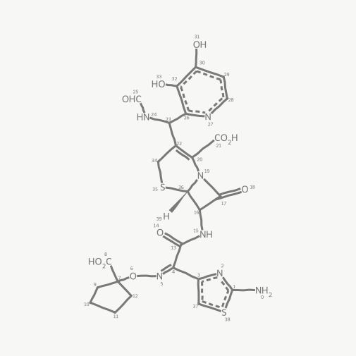 Nc1nc(/C(=N/OC2(C(=O)O)CCCC2)C(=O)NC2C(=O)N3C(C(=O)O)=C(C(NC=O)c4nccc(O)c4O)CS[C@@H]23)cs1